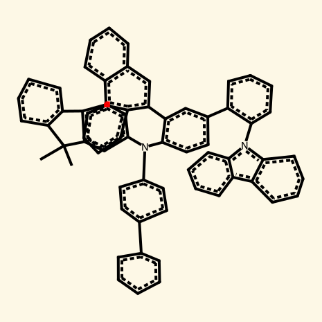 CC1(C)c2ccccc2-c2ccc(N(c3ccc(-c4ccccc4)cc3)c3ccc(-c4ccccc4-n4c5ccccc5c5ccccc54)cc3-c3cc4ccccc4c4ccccc34)cc21